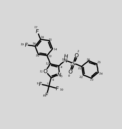 O=S(=O)(Nc1nc(C(F)(F)F)oc1-c1ccc(F)c(F)c1)c1ccccc1